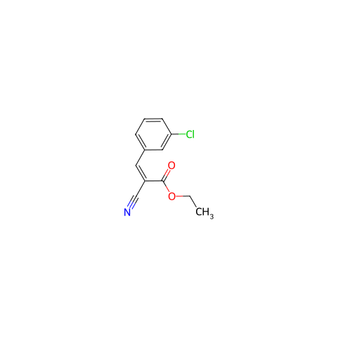 CCOC(=O)/C(C#N)=C\c1cccc(Cl)c1